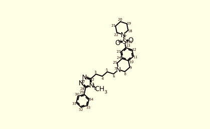 Cn1c(CCCCN2CCc3ccc(S(=O)(=O)N4CCCCC4)cc3C2)nnc1-c1ccccc1